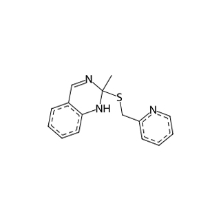 CC1(SCc2ccccn2)N=Cc2ccccc2N1